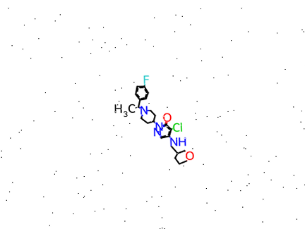 C[C@H](c1ccc(F)cc1)N1CCC(n2ncc(NCC3CCCOC3)c(Cl)c2=O)CC1